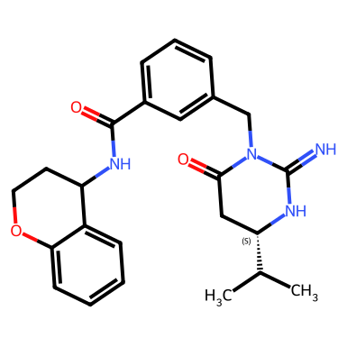 CC(C)[C@@H]1CC(=O)N(Cc2cccc(C(=O)NC3CCOc4ccccc43)c2)C(=N)N1